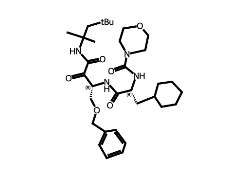 CC(C)(C)CC(C)(C)NC(=O)C(=O)[C@@H](COCc1ccccc1)NC(=O)[C@@H](CC1CCCCC1)NC(=O)N1CCOCC1